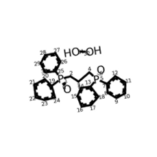 O=P(CCCP(=O)(c1ccccc1)c1ccccc1)(c1ccccc1)c1ccccc1.OO